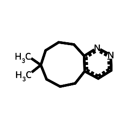 CC1(C)CCCc2ccnnc2CCC1